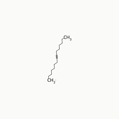 [CH2]CCCCCCC#CCCCCCC